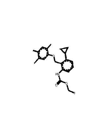 Cc1cc(C)c(OCc2c(NC(=O)OCF)cccc2C2CC2)cc1C